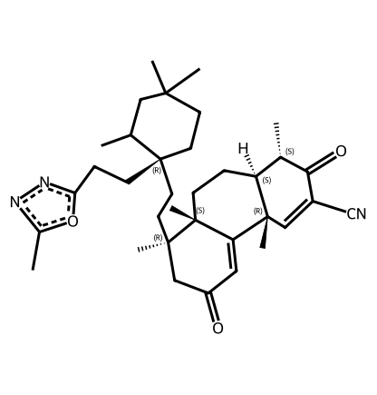 Cc1nnc(CC[C@]2(CC[C@]3(C)CC(=O)C=C4[C@@]5(C)C=C(C#N)C(=O)[C@@H](C)[C@@H]5CC[C@]43C)CCC(C)(C)CC2C)o1